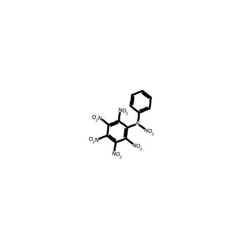 O=[N+]([O-])c1c(N(c2ccccc2)[N+](=O)[O-])c([N+](=O)[O-])c([N+](=O)[O-])c([N+](=O)[O-])c1[N+](=O)[O-]